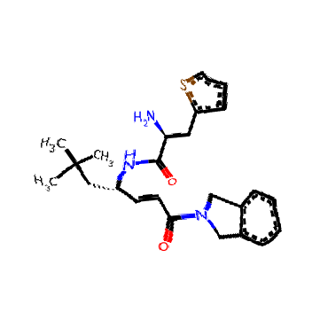 CC(C)(C)C[C@@H](/C=C/C(=O)N1Cc2ccccc2C1)NC(=O)[C@@H](N)Cc1cccs1